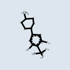 CC1CCC(c2cc(F)c(C(F)(F)F)c(F)c2)CC1